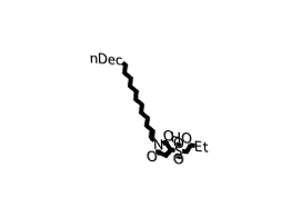 CCCCCCCCCCCCCCCCCCCCC=CN1C(=O)CC(S(=O)(=O)CC(O)CC)C1=O